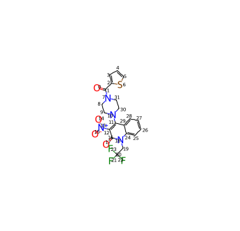 O=C(c1cccs1)N1CCN(c2c([N+](=O)[O-])c(=O)n(CC(F)(F)F)c3ccccc23)CC1